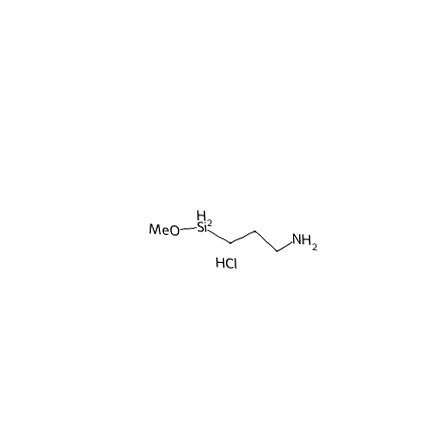 CO[SiH2]CCCN.Cl